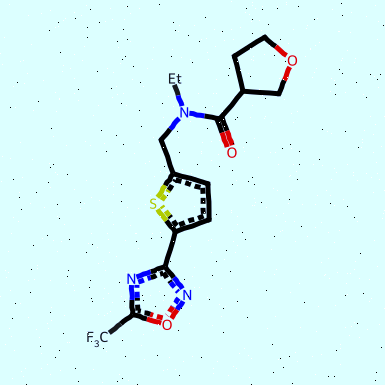 CCN(Cc1ccc(-c2noc(C(F)(F)F)n2)s1)C(=O)C1CCOC1